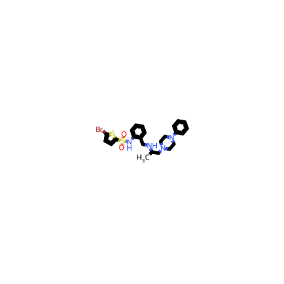 CC(CN1CCN(c2ccccc2)CC1)NCc1ccccc1NS(=O)(=O)c1ccc(Br)s1